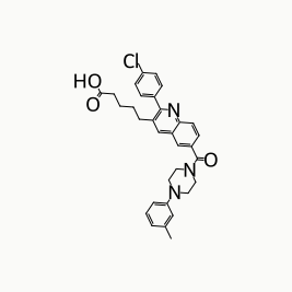 Cc1cccc(N2CCN(C(=O)c3ccc4nc(-c5ccc(Cl)cc5)c(CCCCC(=O)O)cc4c3)CC2)c1